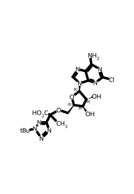 CC(OC[C@H]1O[C@@H](n2cnc3c(N)nc(Cl)nc32)[C@H](O)[C@H]1O)(C(=O)O)c1nnn(C(C)(C)C)n1